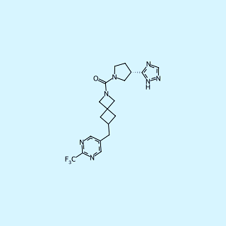 O=C(N1CC[C@H](c2ncn[nH]2)C1)N1CC2(CC(Cc3cnc(C(F)(F)F)nc3)C2)C1